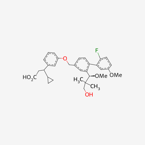 COc1ccc(F)c(-c2ccc(COc3cccc(C(CC(=O)O)C4CC4)c3)cc2[C@@H](OC)C(C)(C)CO)c1